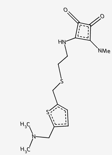 CNc1c(NCCSCc2ccc(CN(C)C)s2)c(=O)c1=O